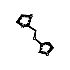 [c]1occc1OCc1nccs1